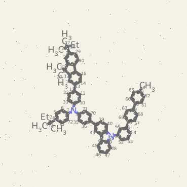 CCC(C)(C)c1ccc(N(c2ccc(-c3ccc4c(c3)C(C)(C)c3cc(C(C)(C)CC)ccc3-4)cc2)c2ccc(-c3ccc4c(c3)c3ccccc3n4-c3cccc(-c4ccc(-c5ccc(C)cc5)cc4)c3)cc2)cc1